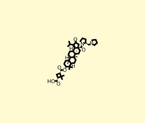 CC(C)C1=C2[C@H]3CC[C@@H]4[C@@]5(C)CC[C@H](OC(=O)[C@H]6C[C@@H](C(=O)O)C6(C)C)C(C)(C)[C@@H]5CC[C@@]4(C)[C@]3(C)CC[C@@]2(C(=O)N2CCC[C@H]2CN2CCCC2)CC1=O